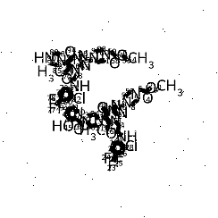 CCOC(=O)CN1CCN(c2nc3n(CC(=O)Nc4ccc(C(F)(F)F)cc4Cl)c(CC)c(N4CCN(C(=O)c5ncccc5O)CC4)c(=O)n3n2)CC1.CCOC(=O)CN1CCN(c2nc3n(CC(=O)Nc4ccc(C(F)(F)F)cc4Cl)c(CC)c(N4CCNCC4)c(=O)n3n2)CC1